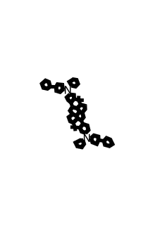 CC1(C)c2cc(N(c3ccccc3)c3ccc(-c4ccccc4)cc3)ccc2-c2cc3ccc4c5c(cc6ccc1c2c6c35)-c1ccc(N(c2ccccc2)c2ccc(-c3ccccc3)cc2)cc1C4(C)C